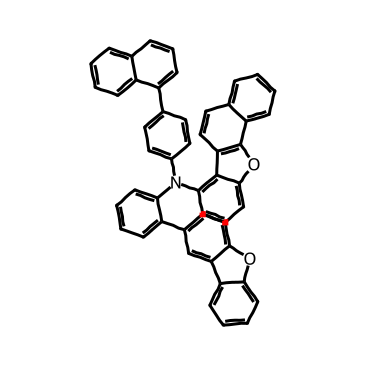 c1ccc(N(c2ccc(-c3cccc4ccccc34)cc2)c2cccc3oc4c5ccccc5ccc4c23)c(-c2ccc3oc4ccccc4c3c2)c1